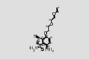 CCOCCOCCOc1ccc(N)c(S(N)(=O)=O)c1C#N